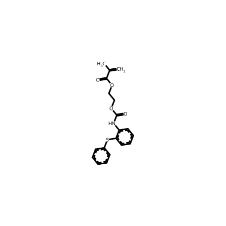 C=C(C)C(=O)OCCOC(=O)Nc1ccccc1Sc1ccccc1